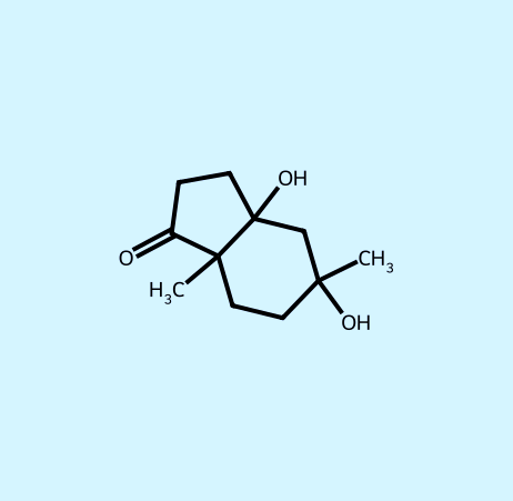 CC1(O)CCC2(C)C(=O)CCC2(O)C1